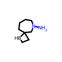 NN1CCCCC2(BCC2)C1